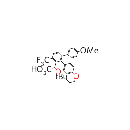 COc1ccc(-c2ccc(C(F)(F)F)c(C(OC(C)(C)C)C(=O)O)c2-c2ccc3c(c2)CCCO3)cc1